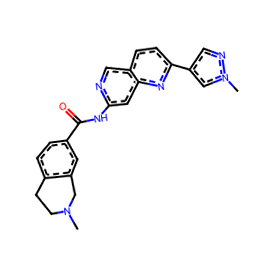 CN1CCc2ccc(C(=O)Nc3cc4nc(-c5cnn(C)c5)ccc4cn3)cc2C1